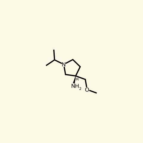 COC[C@@]1(N)CCN(C(C)C)C1